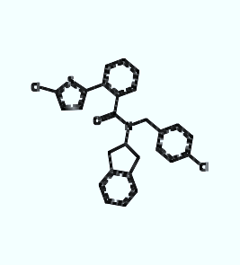 O=C(c1ccccc1-c1ccc(Cl)s1)N(Cc1ccc(Cl)cc1)C1Cc2ccccc2C1